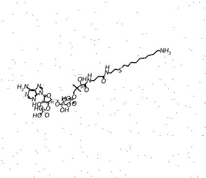 CC(C)(COP(=O)(O)OP(=O)(O)OC[C@H]1O[C@@H](n2cnc3c(N)ncnc32)[C@H](O)[C@@H]1OP(=O)(O)O)[C@@H](O)C(=O)NCCC(=O)NCCSCCCCCCCCCN